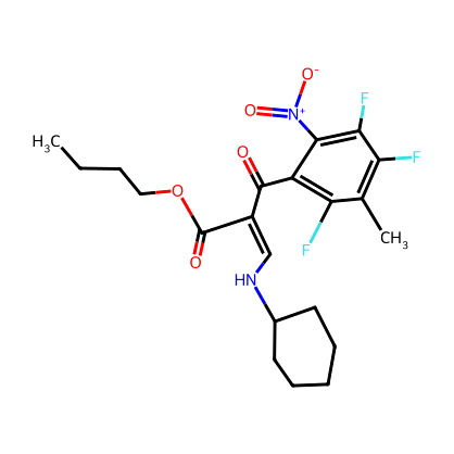 CCCCOC(=O)C(=CNC1CCCCC1)C(=O)c1c(F)c(C)c(F)c(F)c1[N+](=O)[O-]